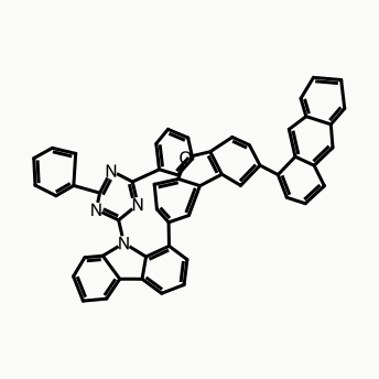 c1ccc(-c2nc(-c3ccccc3)nc(-n3c4ccccc4c4cccc(-c5ccc6oc7ccc(-c8cccc9cc%10ccccc%10cc89)cc7c6c5)c43)n2)cc1